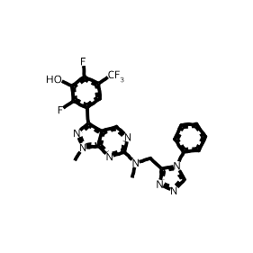 CN(Cc1nncn1-c1ccccc1)c1ncc2c(-c3cc(C(F)(F)F)c(F)c(O)c3F)nn(C)c2n1